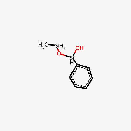 C[SiH2]O[SiH](O)c1ccccc1